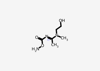 C/C(=N\C(=O)ON)N(C)CCO